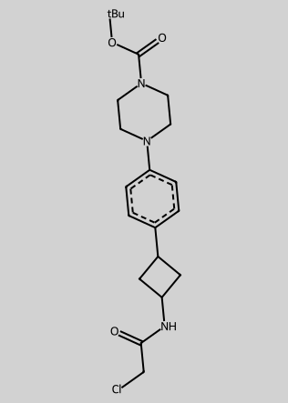 CC(C)(C)OC(=O)N1CCN(c2ccc(C3CC(NC(=O)CCl)C3)cc2)CC1